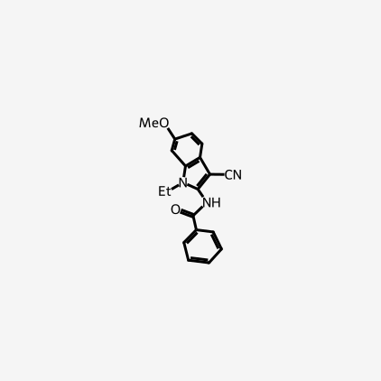 CCn1c(NC(=O)c2ccccc2)c(C#N)c2ccc(OC)cc21